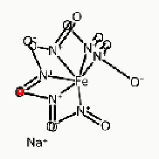 O=[N+]([O-])[Fe]([N+](=O)[O-])([N+](=O)[O-])([N+](=O)[O-])([N+](=O)[O-])[N+](=O)[O-].[Na+]